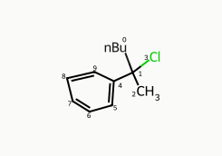 CCCCC(C)(Cl)c1ccccc1